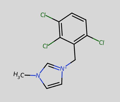 Cn1cc[n+](Cc2c(Cl)ccc(Cl)c2Cl)c1